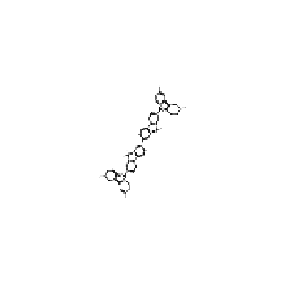 CC1=Cc2c(n(-c3ccc4c(c3)C(C)(C)c3cc(-c5ccc6c(c5)C(C)(C)c5cc(-n7c8c(c9cc(C)ccc97)CC(C)C=C8)ccc5-6)ccc3-4)c3ccc(C)cc23)CC1